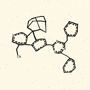 N#Cc1cncc2c1-c1ccc(-c3nc(-c4ccccc4)nc(-c4ccccc4)n3)cc1C21C2CC3CC(C2)CC1C3